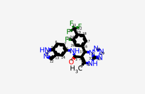 CC1=C(C(=O)Nc2ccc3[nH]ncc3c2)C(c2ccc(C(F)(F)F)c(F)c2)n2nnnc2N1